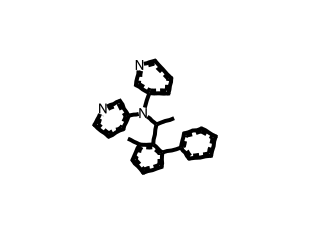 Cc1cccc(-c2ccccc2)c1C(C)N(c1cccnc1)c1cccnc1